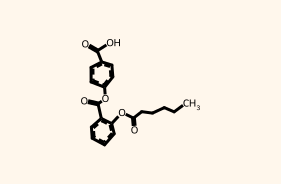 CCCCCC(=O)Oc1ccccc1C(=O)Oc1ccc(C(=O)O)cc1